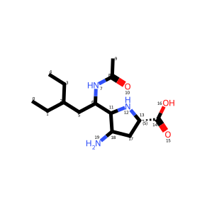 CCC(CC)CC(NC(C)=O)C1N[C@H](C(=O)O)CC1N